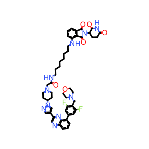 O=C(CN1CCC(n2cc(-c3cnc4cccc(-c5cc(F)c(CN6CCOCC6)c(F)c5)c4n3)cn2)CC1)NCCCCCCCCNc1cccc2c1C(=O)N(C1CCC(=O)NC1=O)C2=O